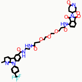 CC1CC=c2c(n(-c3ccc(C(F)(F)F)cc3)c3ccc(C(=O)NCCNC(=O)CCOCCOCCOCCC(=O)Nc4cccc5c4C(=O)N(C4CCC(=O)N=CC4=O)C5=O)cc23)=N1